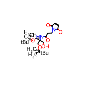 CC(C)(C)[Si](C)(C)OCC(CO)(CO[Si](C)(C)C(C)(C)C)NC(=O)CCN1C(=O)C=CC1=O